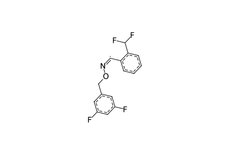 Fc1cc(F)cc(CO/N=[C]\c2ccccc2C(F)F)c1